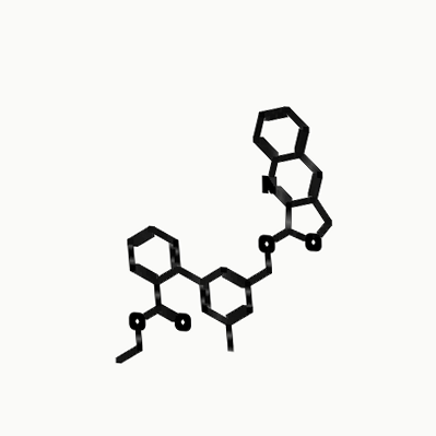 CCOC(=O)c1ccccc1-c1cc(C)cc(COC2OCc3cc4ccccc4nc32)c1